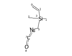 C=C[Si](C)(C)CN=C=O